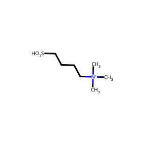 C[N+](C)(C)CCCCS(=O)(=O)O